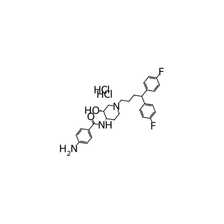 Cl.Cl.Nc1ccc(C(=O)N[C@H]2CCN(CCCC(c3ccc(F)cc3)c3ccc(F)cc3)C[C@@H]2O)cc1